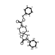 O=C(OCc1ccccc1)N1CCC2(CC1)CN(c1ccccc1)C(=O)O2